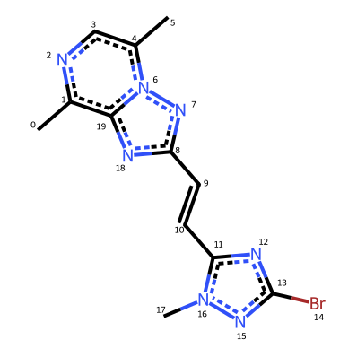 Cc1ncc(C)n2nc(/C=C/c3nc(Br)nn3C)nc12